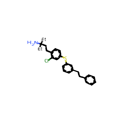 CCC(N)(CC)CCc1ccc(Sc2cccc(CCc3ccccc3)c2)cc1Cl